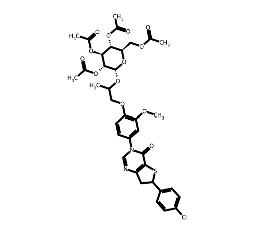 COc1cc(-n2cnc3c(c2=O)SC(c2ccc(Cl)cc2)C3)ccc1OCC(C)O[C@H]1O[C@H](COC(C)=O)[C@@H](OC(C)=O)[C@H](OC(C)=O)[C@H]1OC(C)=O